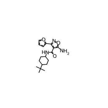 CC(C)(C)C1CCC(NC(=O)c2c(-c3ccco3)noc2N)CC1